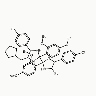 CCOc1ccc(C2(C3(c4ccc(OC)cc4OCC)NC(CC)C(c4ccc(Cl)cc4)N3)NC(CC3CCCC3)C(c3ccc(Cl)cc3)N2)c(OCC)c1